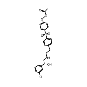 CC(=O)OOc1ccc(S(=O)(=O)c2ccc(CCNC[C@H](O)c3cccc(Cl)c3)cn2)cc1